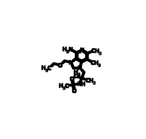 CCOCN1CN(CC(C)(C)NS(C)(=O)=O)c2c(C)c(C)nc(N)c21